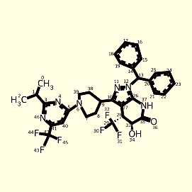 CC(C)c1nc(N2CCC(c3nn(C(c4ccccc4)c4ccccc4)c4c3[C@@H](C(F)(F)F)[C@H](O)C(=O)N4)CC2)cc(C(F)(F)F)n1